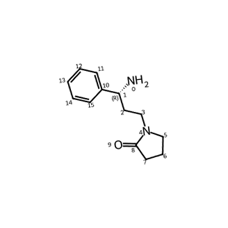 N[C@H](CCN1CCCC1=O)c1ccccc1